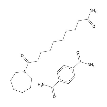 NC(=O)CCCCCCCCC(=O)N1CCCCCC1.NC(=O)c1ccc(C(N)=O)cc1